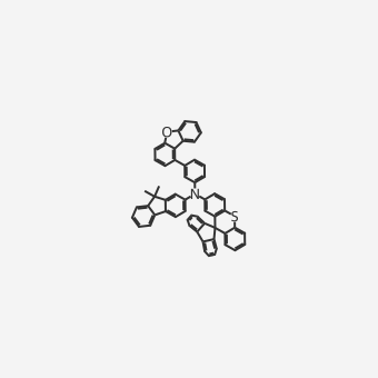 CC1(C)c2ccccc2-c2ccc(N(c3cccc(-c4cccc5oc6ccccc6c45)c3)c3ccc4c(c3)C3(c5ccccc5S4)c4ccccc4-c4ccccc43)cc21